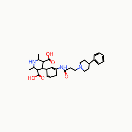 CC1NC(C)C(C(=O)O)C(C2C=CCC(NC(=O)CCN3CCC(c4ccccc4)CC3)=C2)C1C(=O)O